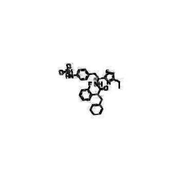 CCc1csc([C@H](Cc2ccc(N[SH](=O)=O)cc2)NC(=O)C(CC2=CCCC=C2)c2ccccc2F)n1